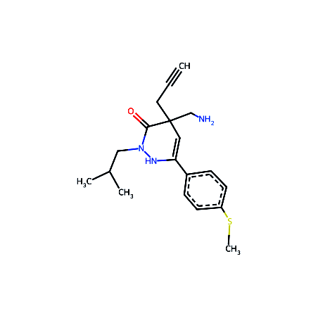 C#CCC1(CN)C=C(c2ccc(SC)cc2)NN(CC(C)C)C1=O